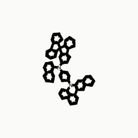 c1ccc2c(c1)-c1ccccc1C21c2ccccc2-c2ccc(N(c3ccc(N4c5cc6ccccc6cc5-c5cccc6cccc4c56)cc3)c3cccc4ccccc34)cc21